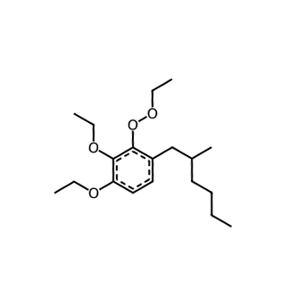 CCCCC(C)Cc1ccc(OCC)c(OCC)c1OOCC